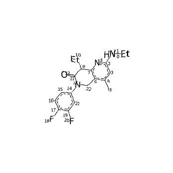 CCNc1cc(C)c2c(n1)C(CC)C(=O)N(c1ccc(F)c(F)c1)C2